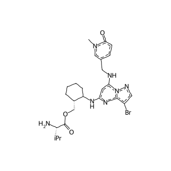 CC(C)[C@H](N)C(=O)OC[C@@H]1CCCCC1Nc1cc(NCc2ccc(=O)n(C)c2)n2ncc(Br)c2n1